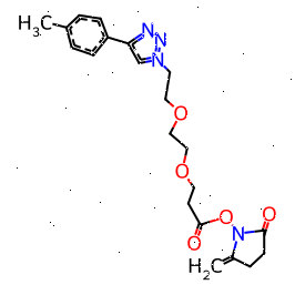 C=C1CCC(=O)N1OC(=O)CCOCCOCCn1cc(-c2ccc(C)cc2)nn1